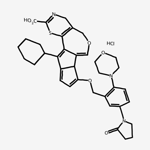 Cl.O=C(O)C1=NCC2=C(S1)C1=C(C3CCCCC3)C3=CC=C(OCc4cc(N5CCCC5=O)ccc4N4CCOCC4)C3C1=COC2